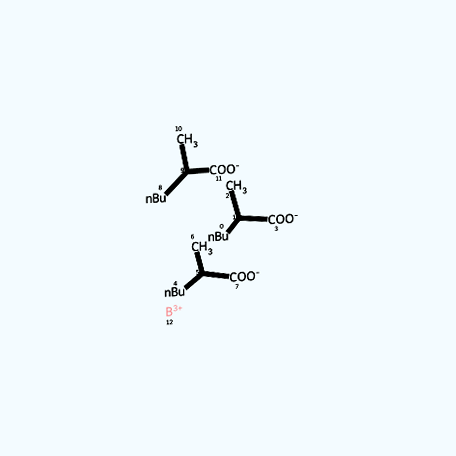 CCCCC(C)C(=O)[O-].CCCCC(C)C(=O)[O-].CCCCC(C)C(=O)[O-].[B+3]